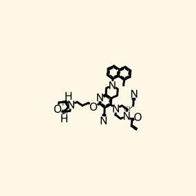 C=CC(=O)N1CCN(c2c(C#N)c(OCCCN3C[C@H]4C[C@@H]3CO4)nc3c2CCN(c2cccc4cccc(C)c24)C3)C[C@@H]1CC#N